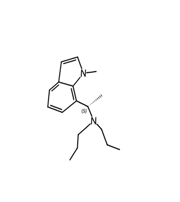 CCCN(CCC)[C@@H](C)c1cccc2ccn(C)c12